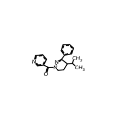 CC(C)C1CCN(C(=O)c2cccnc2)N=C1c1ccccc1